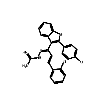 N=C(N)NN=C(C=Cc1ccccc1Cl)c1c(-c2ccc(Cl)cc2)[nH]c2ccccc12